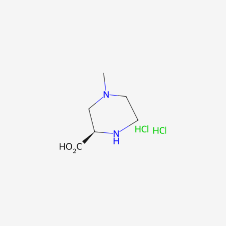 CN1CCN[C@@H](C(=O)O)C1.Cl.Cl